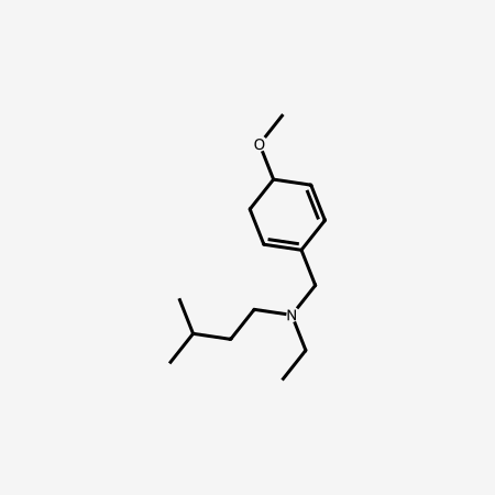 CCN(CCC(C)C)CC1=CCC(OC)C=C1